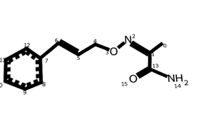 C/C(=N/OC/C=C/c1ccccc1)C(N)=O